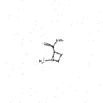 CNC(=O)C1CCN1C